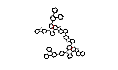 c1ccc(-c2ccc(-c3ccc(N(c4ccc(-c5cccc6c5oc5ccc(-c7cccc8c7ccc7c8oc8cccc(-c9ccccc9N(c9ccc(-c%10ccc(-c%11ccccc%11)c(-c%11ccccc%11)c%10)cc9)c9ccc%10c(c9)oc9ccccc9%10)c87)cc56)cc4)c4ccccc4-c4cccc5oc6c7ccccc7ccc6c45)cc3)cc2-c2ccccc2)cc1